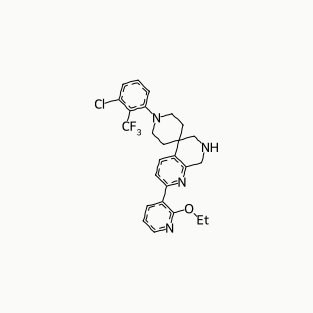 CCOc1ncccc1-c1ccc2c(n1)CNCC21CCN(c2cccc(Cl)c2C(F)(F)F)CC1